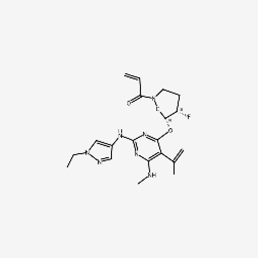 C=CC(=O)N1CC[C@H](F)[C@H](Oc2nc(Nc3cnn(CC)c3)nc(NC)c2C(=C)C)C1